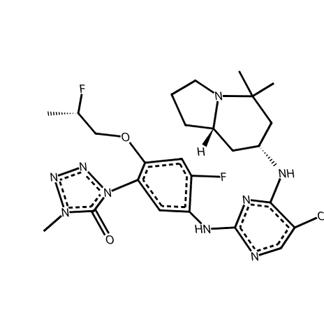 C[C@H](F)COc1cc(F)c(Nc2ncc(C#N)c(N[C@@H]3C[C@@H]4CCCN4C(C)(C)C3)n2)cc1-n1nnn(C)c1=O